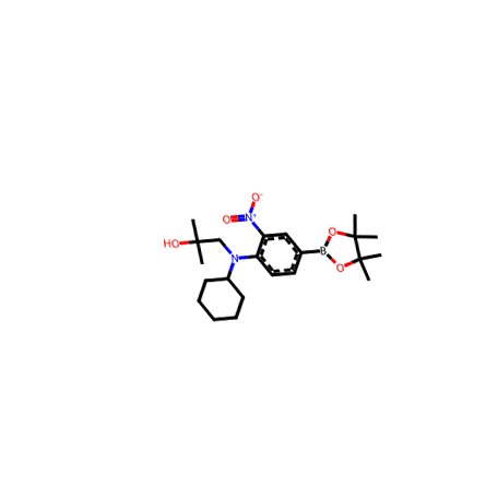 CC(C)(O)CN(c1ccc(B2OC(C)(C)C(C)(C)O2)cc1[N+](=O)[O-])C1CCCCC1